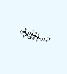 CCOC(=O)C(F)(F)C(F)(F)C(F)(F)OC(F)(C(=O)F)C(F)(F)F